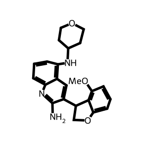 COc1cccc2c1C(c1cc3c(NC4CCOCC4)cccc3nc1N)CO2